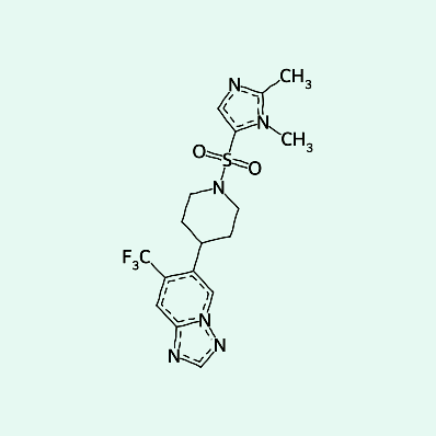 Cc1ncc(S(=O)(=O)N2CCC(c3cn4ncnc4cc3C(F)(F)F)CC2)n1C